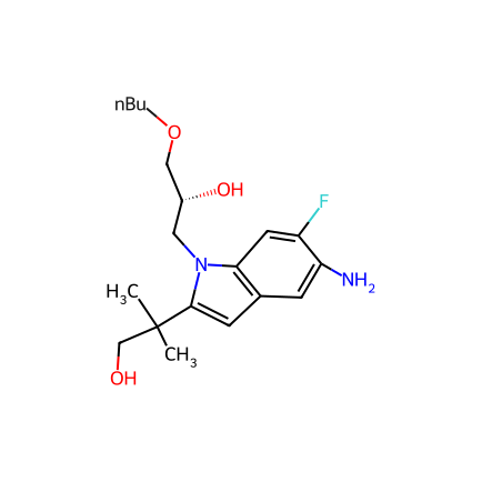 CCCCOC[C@H](O)Cn1c(C(C)(C)CO)cc2cc(N)c(F)cc21